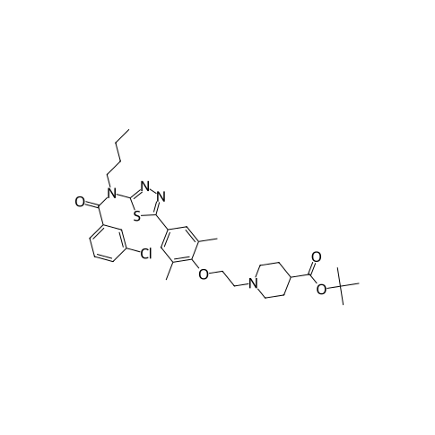 CCCCN(C(=O)c1cccc(Cl)c1)c1nnc(-c2cc(C)c(OCCN3CCC(C(=O)OC(C)(C)C)CC3)c(C)c2)s1